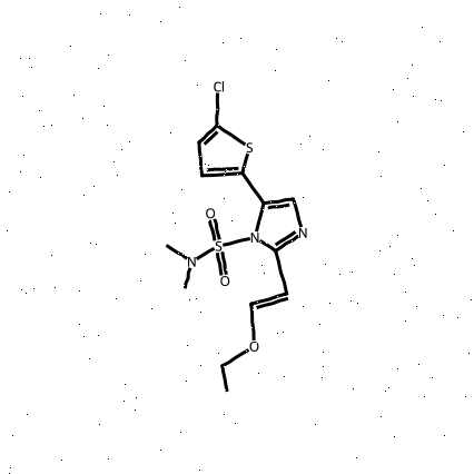 CCOC=Cc1ncc(-c2ccc(Cl)s2)n1S(=O)(=O)N(C)C